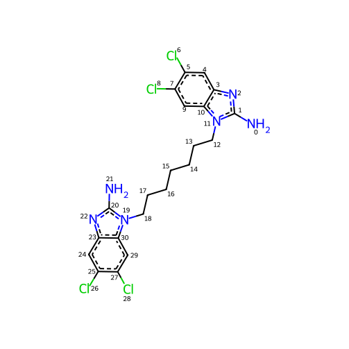 Nc1nc2cc(Cl)c(Cl)cc2n1CCCCCCCn1c(N)nc2cc(Cl)c(Cl)cc21